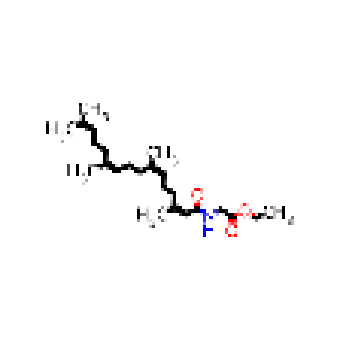 CCOC(=O)CNC(=O)C=C(C)CCC=C(C)CCC=C(C)CCC=C(C)C